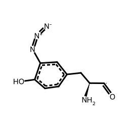 [N-]=[N+]=Nc1cc(C[C@H](N)[C]=O)ccc1O